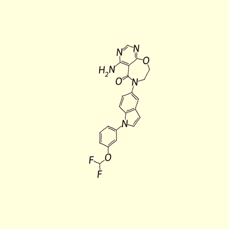 Nc1ncnc2c1C(=O)N(c1ccc3c(ccn3-c3cccc(OC(F)F)c3)c1)CCO2